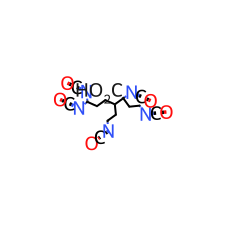 O=C=NCCC(CCC(N=C=O)N=C=O)C(CCN=C=O)(N=C=O)C(=O)O